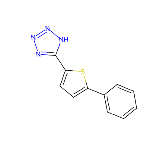 c1ccc(-c2ccc(-c3nnn[nH]3)s2)cc1